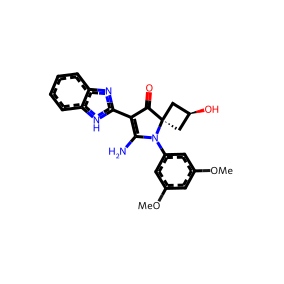 COc1cc(OC)cc(N2C(N)=C(c3nc4ccccc4[nH]3)C(=O)[C@]23C[C@H](O)C3)c1